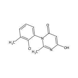 Cc1cccc(-n2c(C)nc(O)cc2=O)c1Cl